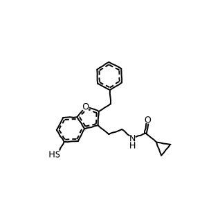 O=C(NCCc1c(Cc2ccccc2)oc2ccc(S)cc12)C1CC1